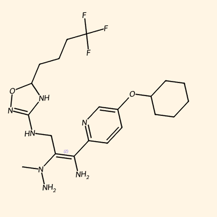 CN(N)/C(CNC1=NOC(CCCC(F)(F)F)N1)=C(\N)c1ccc(OC2CCCCC2)cn1